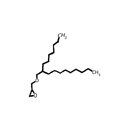 CCCCCCCCCC(CCCCCCC)COCC1CO1